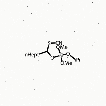 CCCCCCCC(O[Si](OC)(OC)OC(C)C)SC#N